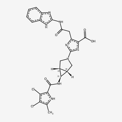 Cc1[nH]c(C(=O)N[C@H]2[C@@H]3CN(c4nc(CC(=O)Nc5nc6ccccc6[nH]5)c(C(=O)O)s4)C[C@@H]32)c(Cl)c1Cl